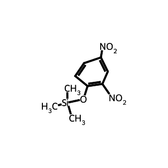 C[Si](C)(C)Oc1ccc([N+](=O)[O-])cc1[N+](=O)[O-]